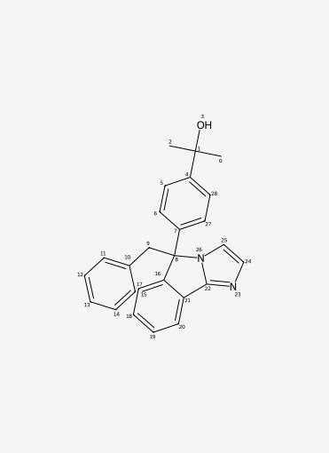 CC(C)(O)c1ccc(C2(Cc3ccccc3)c3ccccc3-c3nccn32)cc1